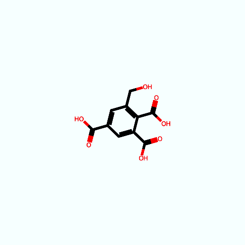 O=C(O)c1cc(CO)c(C(=O)O)c(C(=O)O)c1